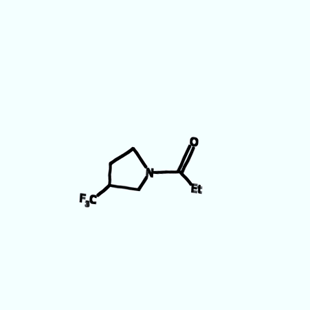 CCC(=O)N1CCC(C(F)(F)F)C1